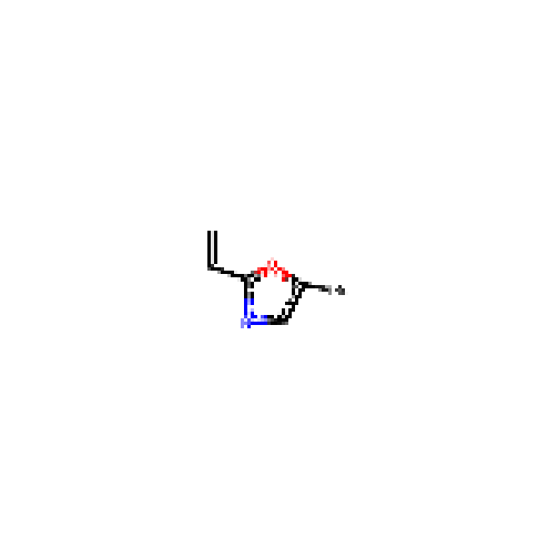 C=Cc1ncc(C(C)(C)C)o1